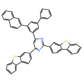 c1ccc(-c2cc(-c3ccc4ccccc4c3)cc(-c3cc(-c4ccc5c(c4)sc4ccccc45)nc(-c4ccc5c(c4)sc4ccccc45)n3)c2)cc1